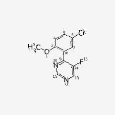 COc1ccc(Cl)cc1-c1ncncc1F